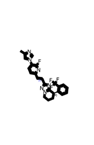 Cc1cn(-c2ccc(/C=C/c3nc4n(n3)CCC[C@@H]4c3ccccc3C(F)(F)F)nc2F)cn1